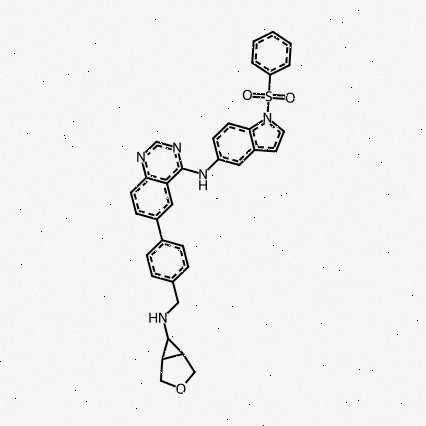 O=S(=O)(c1ccccc1)n1ccc2cc(Nc3ncnc4ccc(-c5ccc(CNC6C7COCC76)cc5)cc34)ccc21